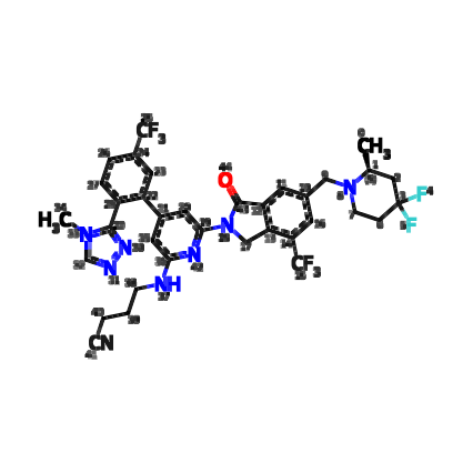 C[C@H]1CC(F)(F)CCN1Cc1cc2c(c(C(F)(F)F)c1)CN(c1cc(-c3cc(C(F)(F)F)ccc3-c3nncn3C)cc(NCCCC#N)n1)C2=O